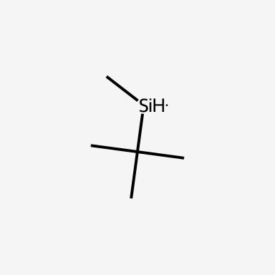 C[SiH]C(C)(C)C